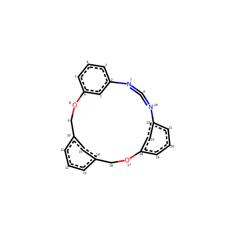 C1=Nc2cccc(c2)OCc2cccc(c2)COc2cccc(c2)N=1